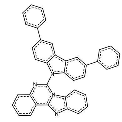 c1ccc(-c2ccc3c(c2)c2cc(-c4ccccc4)ccc2n3-c2nc3ccccc3c3nc4ccccc4n23)cc1